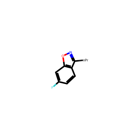 [CH2]CCc1noc2cc(F)ccc12